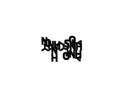 CONC(CC(C)C#N)NC1CCc2sc(NC(=O)C3CC3)c(C(=O)NCC3CC3)c2C1